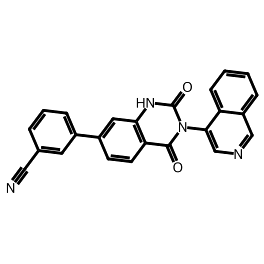 N#Cc1cccc(-c2ccc3c(=O)n(-c4cncc5ccccc45)c(=O)[nH]c3c2)c1